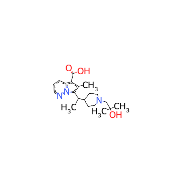 Cc1c(C(=O)O)c2cccnn2c1C(C)C1CCN(CC(C)(C)O)CC1